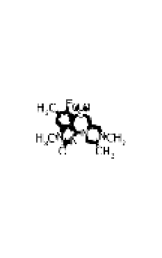 Cc1cc2c3c(nc(=O)n2C)N2CC(C)N(C)CC2CS(=O)(=O)c3c1F